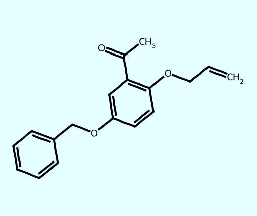 C=CCOc1ccc(OCc2ccccc2)cc1C(C)=O